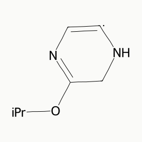 CC(C)OC1=NC=[C]NC1